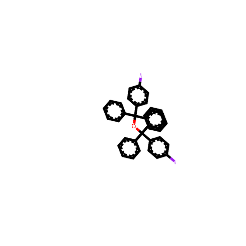 Ic1ccc(C(OC(c2ccccc2)(c2ccccc2)c2ccc(I)cc2)(c2ccccc2)c2ccccc2)cc1